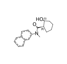 CN(C(=O)[C@@H]1CCCC[C@@H]1O)c1ccc2ccccc2c1